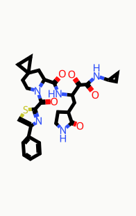 O=C(NC1CC1)C(=O)C(CC1CCNC1=O)NC(=O)C1CC2(CCN1C(=O)c1nc(-c3ccccc3)cs1)CC2